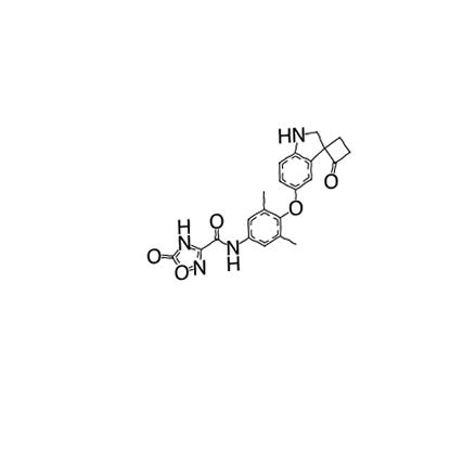 Cc1cc(NC(=O)c2noc(=O)[nH]2)cc(C)c1Oc1ccc2c(c1)C1(CCC1=O)CN2